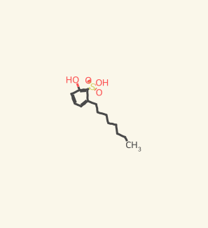 CCCCCCCCc1cccc(O)c1S(=O)(=O)O